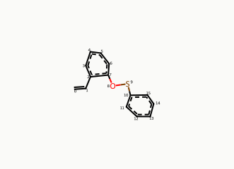 C=Cc1ccccc1OSc1ccccc1